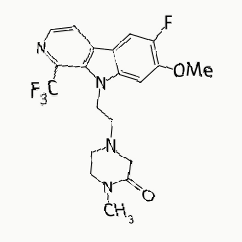 COc1cc2c(cc1F)c1ccnc(C(F)(F)F)c1n2CCN1CCN(C)C(=O)C1